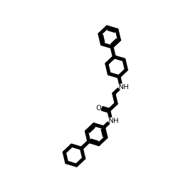 O=C(CCNC1CCC(c2ccccc2)CC1)Nc1ccc(C2CCCCC2)cc1